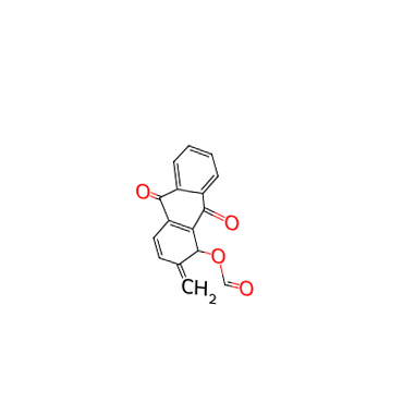 C=C1C=CC2=C(C(=O)c3ccccc3C2=O)C1OC=O